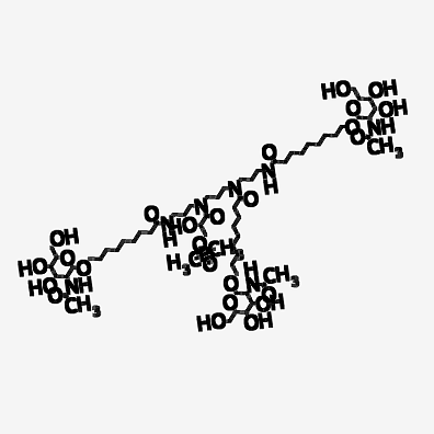 CC(=O)NC1[C@H](OCCCCCCCCC(=O)NCCCN(CCCN(CCCNC(=O)CCCCCCCCO[C@@H]2OC(CO)[C@H](O)[C@H](O)C2NC(C)=O)C(=O)C(O)COP(C)(C)=O)C(=O)CCCCCCCCO[C@@H]2OC(CO)[C@H](O)[C@H](O)C2NC(C)=O)OC(CO)[C@H](O)[C@@H]1O